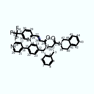 O=C([C@H](Cc1ccccc1)N(Cc1ccc(-c2ccncc2)cc1)C(=O)/C=C/c1ccc(C(F)(F)F)cn1)N1CCc2ccccc2C1